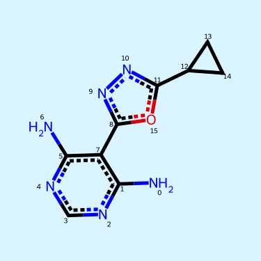 Nc1ncnc(N)c1-c1nnc(C2CC2)o1